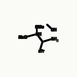 CCCC(N)[SiH](OC)OC.CO